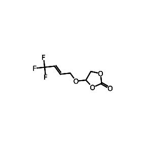 O=C1OCC(OCC=CC(F)(F)F)O1